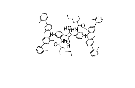 CCCCC(CC)C(=O)Nc1cc(N(c2ccc(-c3ccccc3C)cc2C)c2ccc(-c3ccccc3C)cc2C)ccc1C1C(O)C(c2ccc(N(c3ccc(-c4ccccc4C)cc3C)c3ccc(-c4ccccc4C)cc3C)cc2NC(=O)C(CC)CCCC)C1O